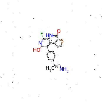 C[C@@H](CN)c1ccc(-c2c(O)nc(F)c3[nH]c(=O)c4sccc4c23)cc1